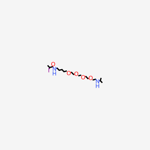 CC(C)NCCOCCOCCOCCOCCCCCNC(=O)C(C)I